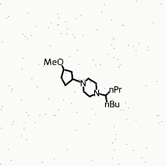 CCCCC(CCC)N1CCN(C2CCC(OC)C2)CC1